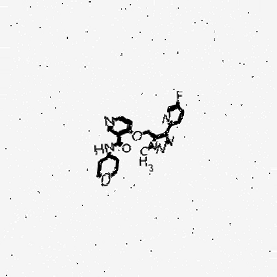 Cn1nnc(-c2ccc(F)cn2)c1COc1ccncc1C(=O)NC1CCOCC1